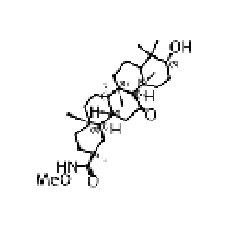 CONC(=O)[C@@]1(C)CC[C@]2(C)CC[C@]3(C)[C@H](CC(=O)[C@@H]4[C@@]5(C)CC[C@H](O)C(C)(C)C5CC[C@]43C)[C@H]2C1